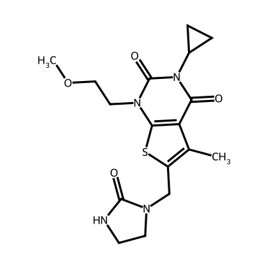 COCCn1c(=O)n(C2CC2)c(=O)c2c(C)c(CN3CCNC3=O)sc21